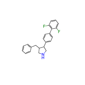 Fc1cccc(F)c1-c1ccc(C2CNCC2Cc2ccccc2)cc1